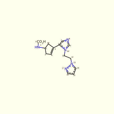 O=C(O)NC1CC=C(c2cncn2CCn2cccn2)C1